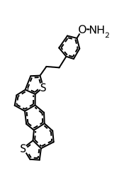 NOc1ccc(CCc2cc3ccc4cc5c(ccc6ccsc65)cc4c3s2)cc1